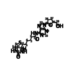 O=C(CCCC[C@@H]1SC[C@@H]2NC(=O)N[C@@H]21)Nc1ncnc2c1ncn2[C@H]1CC[C@@H](CO)O1